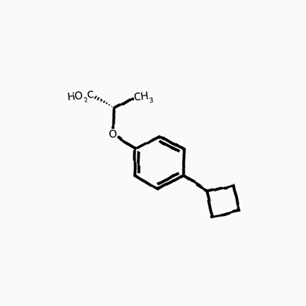 C[C@H](Oc1ccc(C2CCC2)cc1)C(=O)O